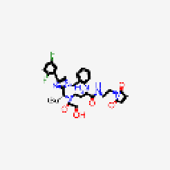 CC(C)(C)[C@H](c1nc(-c2cc(F)ccc2F)cn1Cc1ccccc1)N(CC[C@H](N)C(=O)NCCN1C(=O)C=CC1=O)C(=O)CO